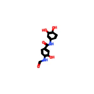 O=CNc1ccc(C(=O)Nc2ccc(O)c(O)c2)cc1O